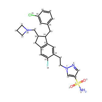 NS(=O)(=O)c1cnn(CCc2cc3c(cc2F)CC(CN2CCC2)C3Cc2cccc(Cl)c2)c1